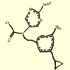 CCC(=O)N(Cc1cc(C2CC2)cc(C(C)(C)C)c1)c1cnc(OC)nc1